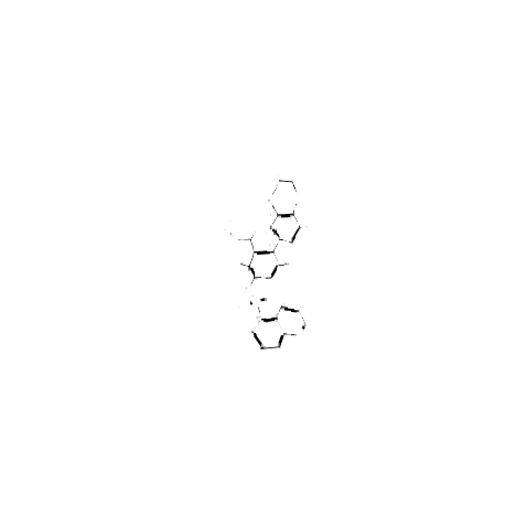 Cc1cc(NS(=O)(=O)c2cccc3ncccc23)c(C)c(C(OC(C)(C)C)C(=O)O)c1-c1ccc2c(c1)CCCO2